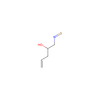 C=CCC(O)CN=S